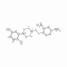 O=[N+]([O-])c1ccc(CCN2CCN(c3cc(Cl)nnc3Cl)CC2)c([N+](=O)[O-])c1